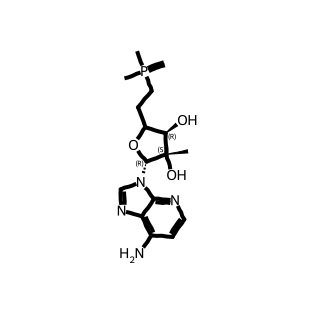 C=P(C)(C)CCC1O[C@@H](n2cnc3c(N)ccnc32)[C@@](C)(O)[C@@H]1O